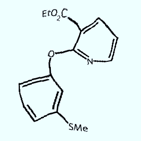 CCOC(=O)c1cccnc1Oc1cccc(SC)c1